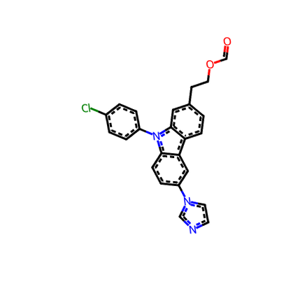 O=COCCc1ccc2c3cc(-n4ccnc4)ccc3n(-c3ccc(Cl)cc3)c2c1